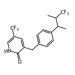 CC(c1ccc(Cc2cc(C(F)(F)F)c[nH]c2=O)cc1)C(C)C(F)(F)F